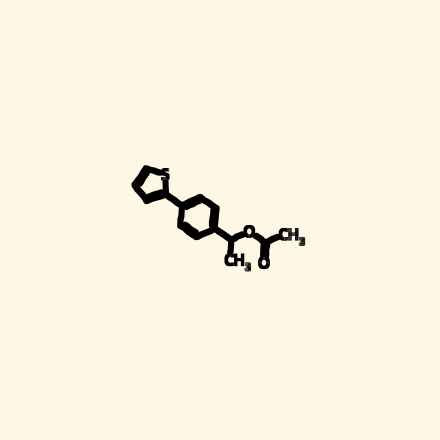 CC(=O)OC(C)c1ccc(-c2cccs2)cc1